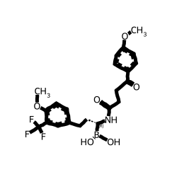 COc1ccc(C(=O)CCC(=O)N[C@@H](CCc2ccc(OC)c(C(F)(F)F)c2)B(O)O)cc1